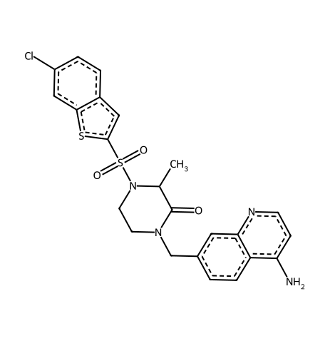 CC1C(=O)N(Cc2ccc3c(N)ccnc3c2)CCN1S(=O)(=O)c1cc2ccc(Cl)cc2s1